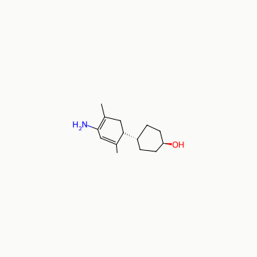 CC1=CC(N)=C(C)CC1[C@H]1CC[C@H](O)CC1